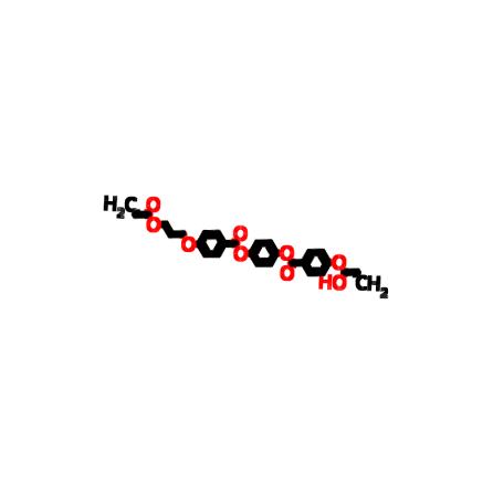 C=CC(=O)OCCCOc1ccc(C(=O)Oc2ccc(OC(=O)c3ccc(OC(O)C=C)cc3)cc2)cc1